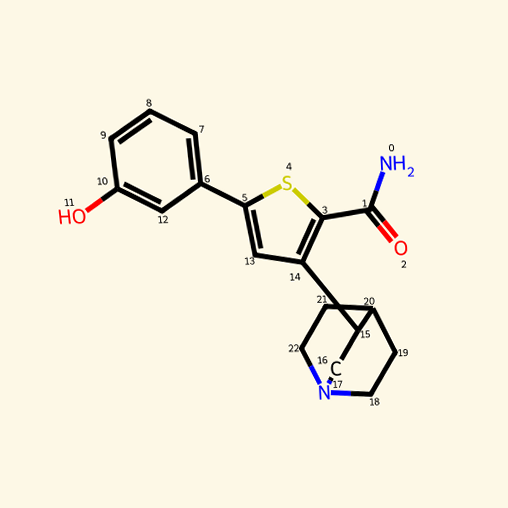 NC(=O)c1sc(-c2cccc(O)c2)cc1C1CN2CCC1CC2